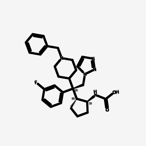 O=C(O)N[C@H]1CCC[C@@H]1[C@](Cn1ccnn1)(c1cccc(F)c1)C1CCN(Cc2ccccc2)CC1